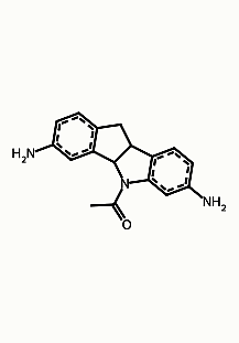 CC(=O)N1c2cc(N)ccc2C2Cc3ccc(N)cc3C21